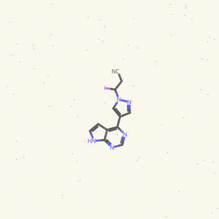 N#CCC(I)n1cc(-c2ncnc3[nH]ccc23)cn1